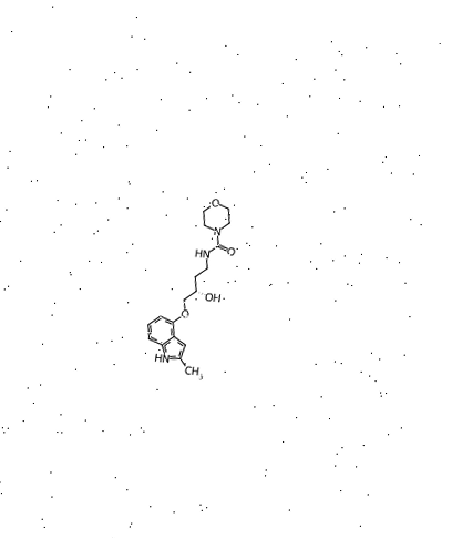 Cc1cc2c(OC[C@@H](O)CCNC(=O)N3CCOCC3)cccc2[nH]1